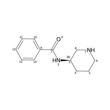 O=C(N[C@@H]1CCCNC1)c1ccccc1